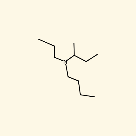 CCCCN(CCC)C(C)CC